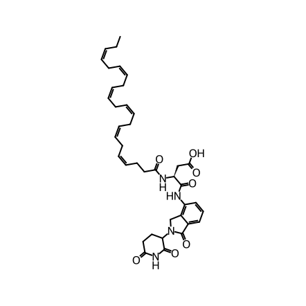 CC/C=C\C/C=C\C/C=C\C/C=C\C/C=C\C/C=C\CCC(=O)N[C@@H](CC(=O)O)C(=O)Nc1cccc2c1CN(C1CCC(=O)NC1=O)C2=O